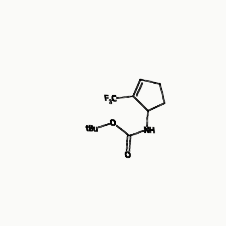 CC(C)(C)OC(=O)NC1CCC=C1C(F)(F)F